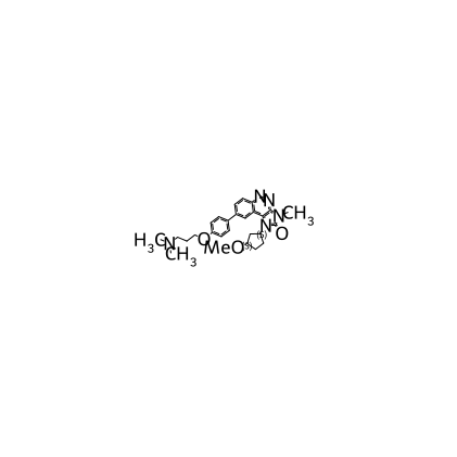 CO[C@H]1CC[C@H](n2c(=O)n(C)c3nnc4ccc(-c5ccc(OCCCN(C)C)cc5)cc4c32)C1